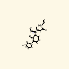 C=CNC(C)CN(C)/C(=C\C)C1C=CC=C(N2CC[C@H](C)C2)N1C